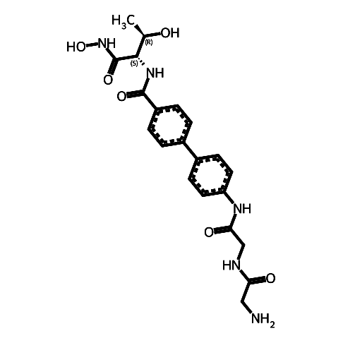 C[C@@H](O)[C@H](NC(=O)c1ccc(-c2ccc(NC(=O)CNC(=O)CN)cc2)cc1)C(=O)NO